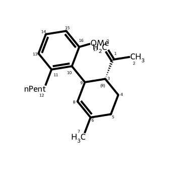 C=C(C)[C@@H]1CCC(C)=CC1c1c(CCCCC)cccc1OC